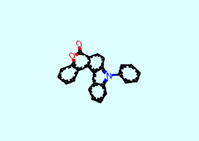 O=c1oc2ccccc2c2c1ccc1c2c2ccccc2n1-c1ccccc1